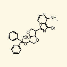 CC(C)(C)[Si](OC1COC2C(c3nc(Br)c4c(N)nccn34)COC12)(c1ccccc1)c1ccccc1